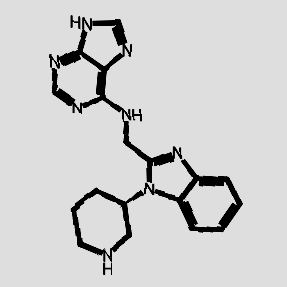 c1ccc2c(c1)nc(CNc1ncnc3[nH]cnc13)n2[C@@H]1CCCNC1